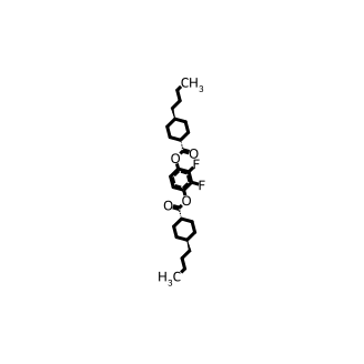 CCCC[C@H]1CC[C@H](C(=O)Oc2ccc(OC(=O)[C@H]3CC[C@H](CCCC)CC3)c(F)c2F)CC1